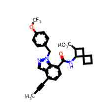 CC#Cc1ccc(C(=O)NC2C(C(=O)O)CC23CCC3)c2c1cnn2Cc1ccc(OC(F)(F)F)cc1